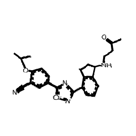 CC(=O)CCNC1CCc2c(-c3noc(-c4ccc(OC(C)C)c(C#N)c4)n3)cccc21